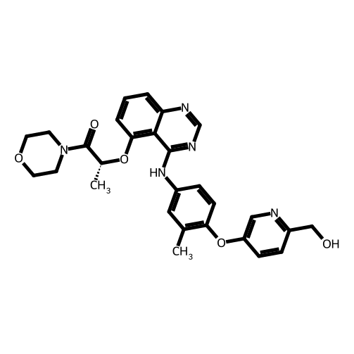 Cc1cc(Nc2ncnc3cccc(O[C@H](C)C(=O)N4CCOCC4)c23)ccc1Oc1ccc(CO)nc1